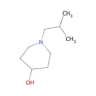 CC(C)CN1CCC(O)CC1